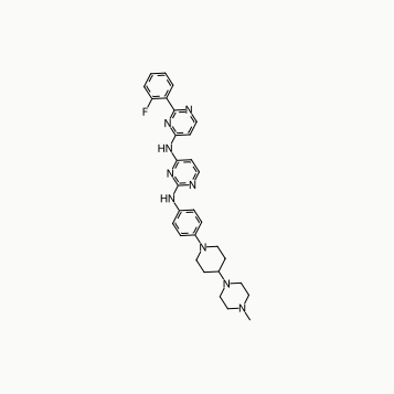 CN1CCN(C2CCN(c3ccc(Nc4nccc(Nc5ccnc(-c6ccccc6F)n5)n4)cc3)CC2)CC1